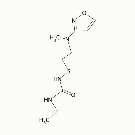 CCNC(=O)NSCCN(C)c1ccon1